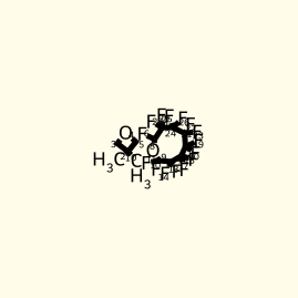 CC1(C)COC1.FC1OC(F)(F)C(F)(F)C(F)(F)C(F)(F)C(F)(F)C(F)(F)C1(F)F